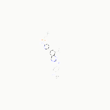 CC(C)c1cc(-c2ccc(NS(=O)(=O)CCC(C)(F)F)nc2)cc2cnc(N[C@H]3CC[C@H](N(C)C4CC4)CC3)nc12